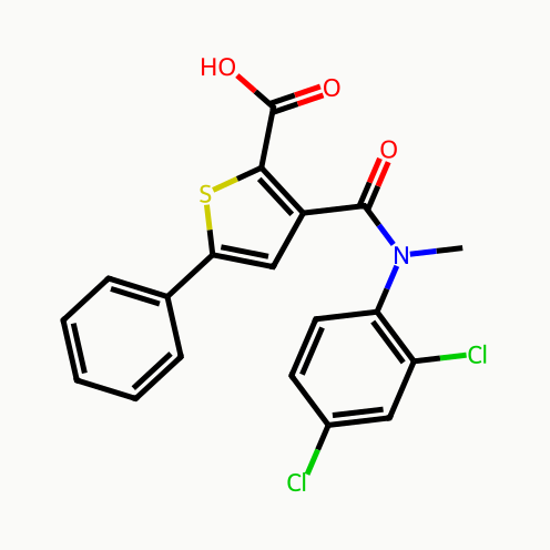 CN(C(=O)c1cc(-c2ccccc2)sc1C(=O)O)c1ccc(Cl)cc1Cl